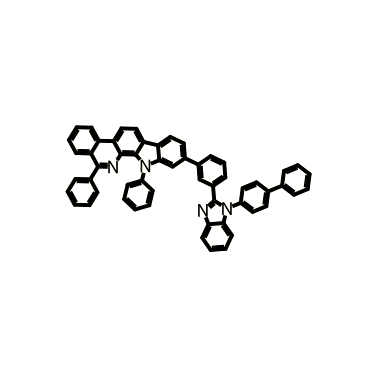 c1ccc(-c2ccc(-n3c(-c4cccc(-c5ccc6c7ccc8c9ccccc9c(-c9ccccc9)nc8c7n(-c7ccccc7)c6c5)c4)nc4ccccc43)cc2)cc1